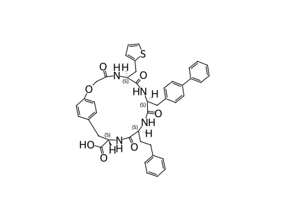 O=C1COc2ccc(cc2)C[C@@H](C(=O)O)NC(=O)[C@H](CCc2ccccc2)NC(=O)[C@H](Cc2ccc(-c3ccccc3)cc2)NC(=O)[C@H](Cc2cccs2)N1